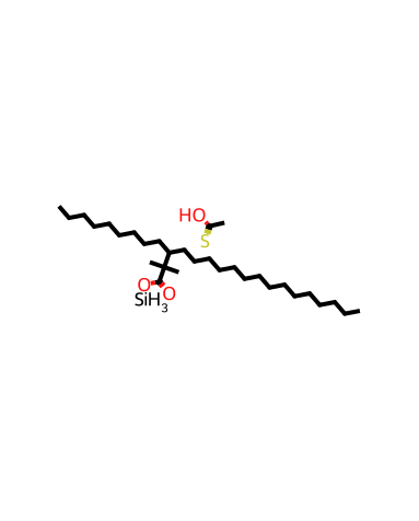 CC(O)=S.CCCCCCCCCCCCCCCC(CCCCCCCCC)C(C)(C)C(=O)O[SiH3]